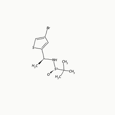 C[C@H](N[S@+]([O-])C(C)(C)C)c1cc(Br)cs1